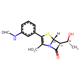 C[C@@H](O)[C@H]1C(=O)N2C(C(=O)O)=C(c3cccc(NC=O)c3)S[C@H]12